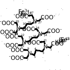 O=C([O-])CN(CCCN(CC(=O)[O-])CC(=O)[O-])CC(=O)[O-].O=C([O-])CN(CCCN(CC(=O)[O-])CC(=O)[O-])CC(=O)[O-].O=C([O-])CN(CCCN(CC(=O)[O-])CC(=O)[O-])CC(=O)[O-].[Fe+3].[Fe+3].[Fe+3].[Fe+3].[KH]